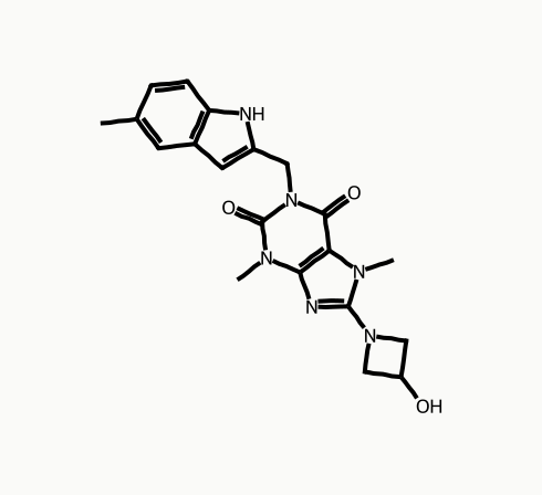 Cc1ccc2[nH]c(Cn3c(=O)c4c(nc(N5CC(O)C5)n4C)n(C)c3=O)cc2c1